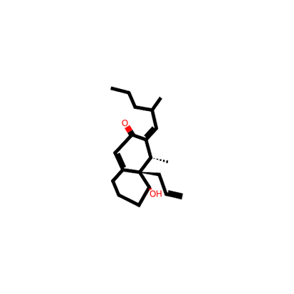 C=CC[C@@]12C(=CC(=O)C(=CC(C)CCC)[C@@H]1C)CCC[C@@H]2O